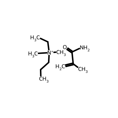 C=C(C)C(N)=O.CCC[N+](C)(C)CC